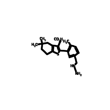 Cc1ccc(CNN)cc1-c1sc2c(c1C(=O)O)CC(C)(C)CC2